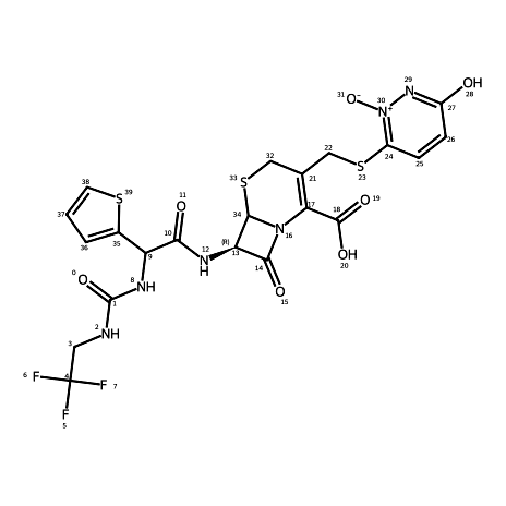 O=C(NCC(F)(F)F)NC(C(=O)N[C@@H]1C(=O)N2C(C(=O)O)=C(CSc3ccc(O)n[n+]3[O-])CSC12)c1cccs1